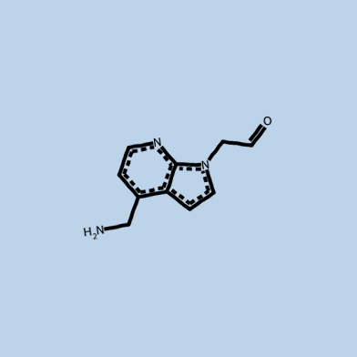 NCc1ccnc2c1ccn2CC=O